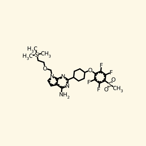 C[Si](C)(C)CCOCn1ccc2c(N)nc(C3CCC(Oc4c(F)c(F)c(S(C)(=O)=O)c(F)c4F)CC3)nc21